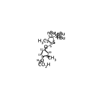 CCC[CH2][Sn]([CH2]CCC)([CH2]CCC)[c]1cc(C)c(COc2ccc(OCC(=O)O)c(C)c2)s1